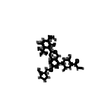 C=CC(=O)N1CC(C)N(c2nc(OCC3CCCN3C)nc3c2COC(c2c(F)c(N)cc(C)c2C(F)(F)F)C3)CC1C